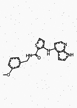 COc1cccc(CNC(=O)c2sccc2Nc2ccnc3[nH]ccc23)c1